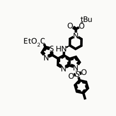 CCOC(=O)c1cnc(-c2cnc3c(ccn3S(=O)(=O)c3ccc(C)cc3)c2N[C@@H]2CCCN(C(=O)OC(C)(C)C)C2)s1